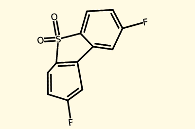 O=S1(=O)c2ccc(F)cc2-c2cc(F)ccc21